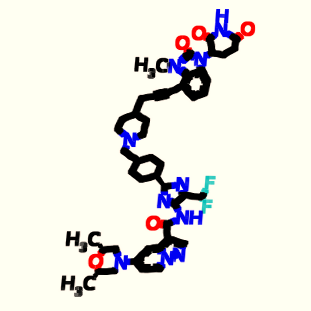 C[C@@H]1CN(c2ccn3ncc(C(=O)NC4=N[C@@H](C5CCC(CN6CCC(CC#Cc7cccc8c7n(C)c(=O)n8C7CCC(=O)NC7=O)CC6)CC5)N=C4C(F)F)c3c2)C[C@H](C)O1